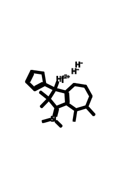 CC1CCCC2=C(C(=[Si](C)C)C(C)(C)[C]2([Hf+2])C2=CC=CC2)C1C.[H-].[H-]